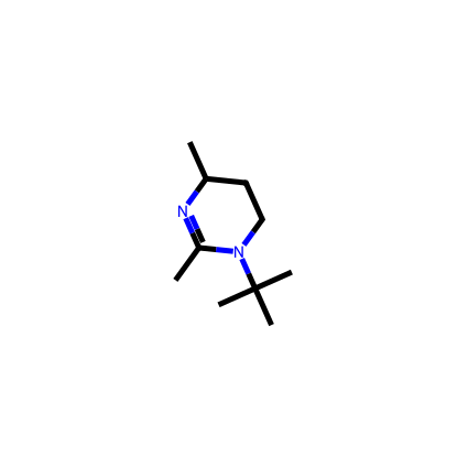 CC1=NC(C)CCN1C(C)(C)C